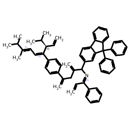 C=C/C(=N\C(C(=C)CC(=C)c1ccc(/C(=C/C=C(\C)C(C)C)[C@H](C=C)C(C)C)cc1)c1ccc2c(c1)C(c1ccccc1)(c1ccccc1)c1ccccc1-2)c1ccccc1